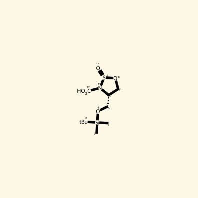 CC(C)(C)[Si](C)(C)OC[C@H]1COS(=O)N1C(=O)O